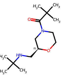 CC(C)(C)NC[C@H]1CN(C(=O)C(C)(C)C)CCO1